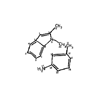 Cc1cc2ccccc2n1C.Cc1cccc(N)c1